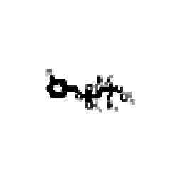 CC(C)(CCC(C)(C)OC(F)(F)F)OCc1cccc(F)c1